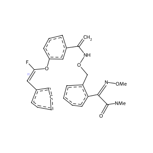 C=C(NOCc1ccccc1C(=NOC)C(=O)NC)c1cccc(O/C(F)=C\c2ccccc2)c1